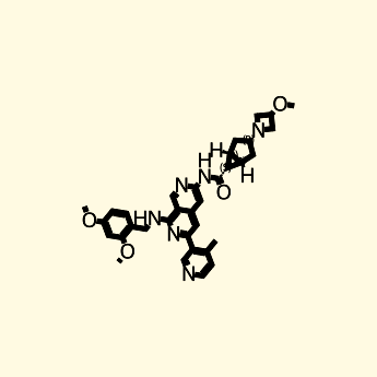 COc1ccc(CNc2nc(-c3cnccc3C)cc3cc(NC(=O)[C@@H]4[C@@H]5C[C@H](N6CC(OC)C6)C[C@@H]54)ncc23)c(OC)c1